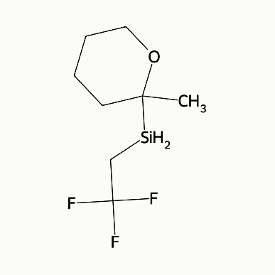 CC1([SiH2]CC(F)(F)F)CCCCO1